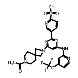 CC(=O)N1CCC2(CC1)CN(c1cc(Nc3cc(OC(F)(F)F)ccn3)nc(-c3ccc(S(C)(=O)=O)nc3)n1)C2